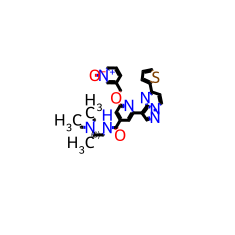 CCN(CC)[C@@H](C)CNC(=O)c1cc(OCc2ccc[n+]([O-])c2)nc(-c2cnn3ccc(-c4cccs4)nc23)c1